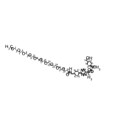 COCCOCCOCCOCCOCCOCCOCCOCCOCCOCCC(=O)NCc1ccc(-c2nnc(C(C)OC(=O)N(C)c3ccc(CO)cc3)nn2)cc1